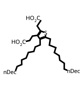 CCCCCCCCCCCCCCCCCCc1sc(CCC(=O)O)c(CCC(=O)O)c1CCCCCCCCCCCCCCCCCC